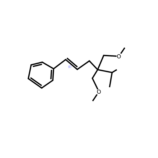 COCC(C/C=C/c1ccccc1)(COC)C(C)C